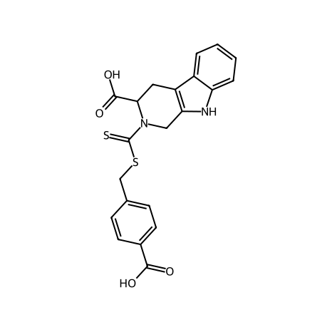 O=C(O)c1ccc(CSC(=S)N2Cc3[nH]c4ccccc4c3CC2C(=O)O)cc1